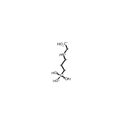 O=C(O)CNCCC[Si](O)(O)O